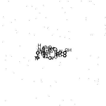 Cc1ncsc1-c1ccc([C@H](C)NC(=O)[C@@H]2CCCN2C(=O)[C@@H](NC(=O)C2(OCC3CCN(CCOc4nc(N5CCC6CC(C5)N(C(=O)OC(C)(C)C)C6)c5cnc6c(c5n4)C(C)c4cccc5cc(O)cc-6c45)CC3)CC2)C(C)(C)C)cc1